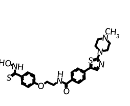 CN1CCN(c2ncc(-c3ccc(C(=O)NCCOc4ccc(C(=S)NO)cc4)cc3)s2)CC1